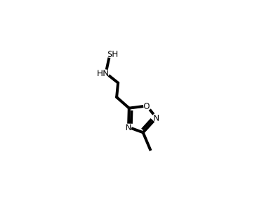 Cc1noc(CCNS)n1